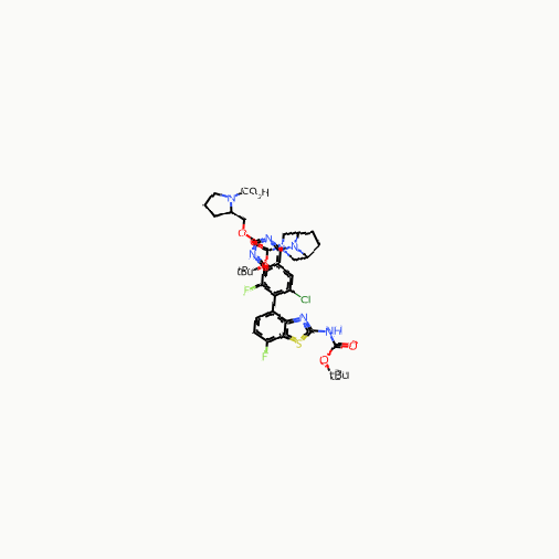 CC(C)(C)OC(=O)Nc1nc2c(-c3c(Cl)cc4c(N5C6CCC5CN(C(=O)OC(C)(C)C)C6)nc(OCC5CCCN5C(=O)O)nc4c3F)ccc(F)c2s1